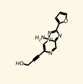 N[N+]12C=C(C#CCO)N=CC1=NC(c1ccco1)=N2